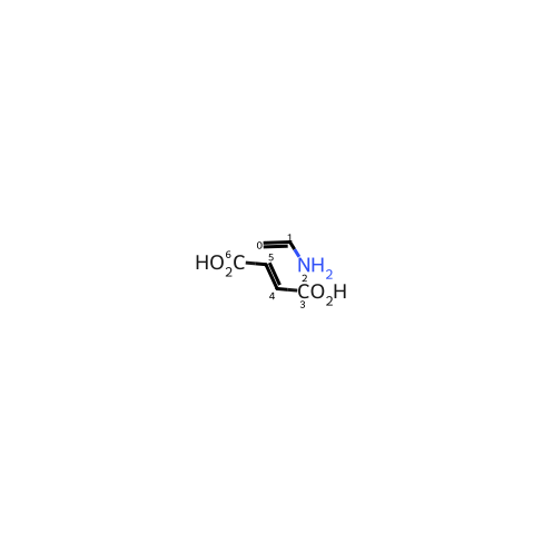 C=CN.O=C(O)C=CC(=O)O